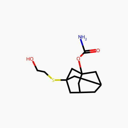 NC(=O)OC12CC3CC(C1)CC(SCCO)(C3)C2